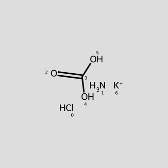 Cl.N.O=C(O)O.[K+]